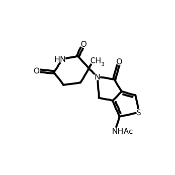 CC(=O)Nc1scc2c1CN(C1(C)CCC(=O)NC1=O)C2=O